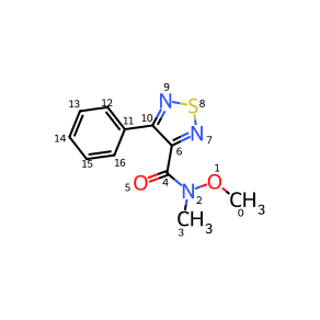 CON(C)C(=O)c1nsnc1-c1ccccc1